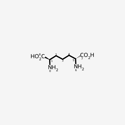 N[C@H](CCC[C@@H](N)C(=O)O)C(=O)O